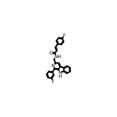 O=C(/C=C/c1ccc(F)cc1)NCc1cc2c([nH]c3ccccc32)c(-c2cccc(F)c2)n1